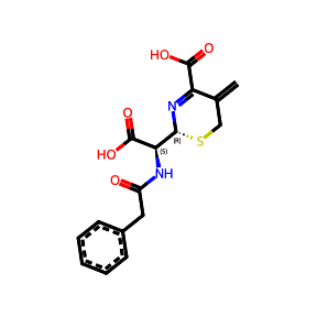 C=C1CS[C@H]([C@@H](NC(=O)Cc2ccccc2)C(=O)O)N=C1C(=O)O